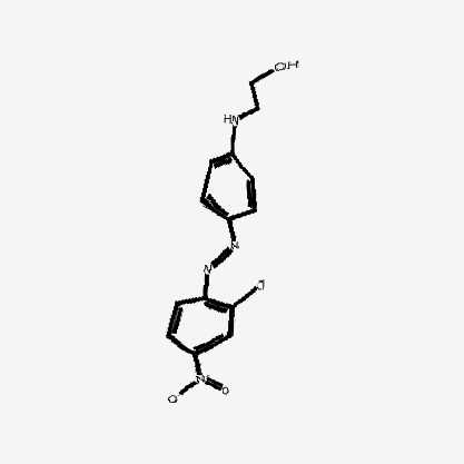 O=[N+]([O-])c1ccc(N=Nc2ccc(NCCO)cc2)c(Cl)c1